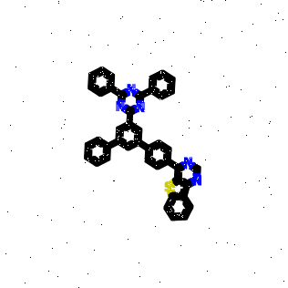 c1ccc(-c2cc(-c3ccc(-c4ncnc5c4sc4ccccc45)cc3)cc(-c3nc(-c4ccccc4)nc(-c4ccccc4)n3)c2)cc1